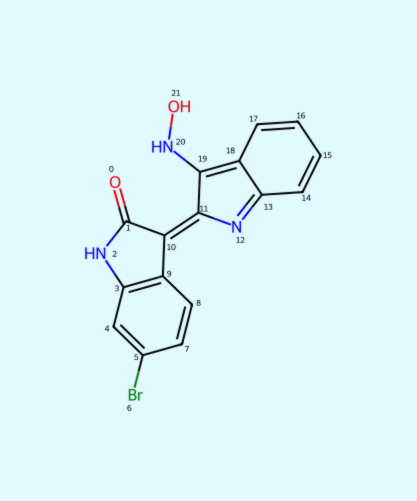 O=C1Nc2cc(Br)ccc2C1=C1N=c2ccccc2=C1NO